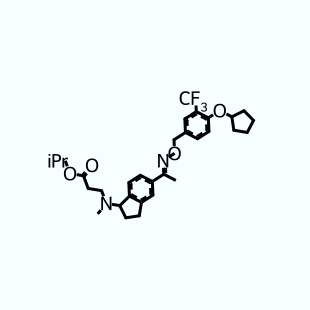 C/C(=N\OCc1ccc(OC2CCCC2)c(C(F)(F)F)c1)c1ccc2c(c1)CCC2N(C)CCC(=O)OC(C)C